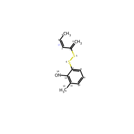 C=C(/C=C\C)SSc1cccc(C)c1N=O